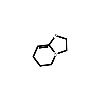 C1=C2SCCN2CCC1